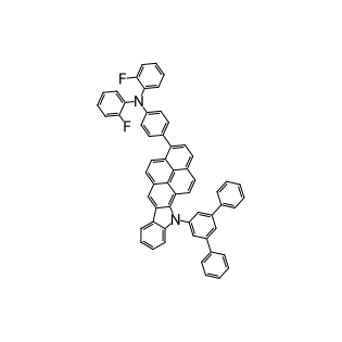 Fc1ccccc1N(c1ccc(-c2ccc3ccc4c5c(ccc2c35)cc2c3ccccc3n(-c3cc(-c5ccccc5)cc(-c5ccccc5)c3)c24)cc1)c1ccccc1F